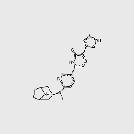 CN(c1ccc(-c2ccc(-c3cn[nH]c3)c(=O)[nH]2)nn1)C1CC2CCC(C1)N2